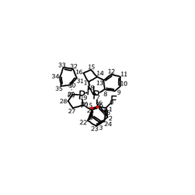 Fc1ccccc1P1c2ccccc2C2CCC2N1P1[C@@H](c2ccccc2)CC[C@@H]1c1ccccc1